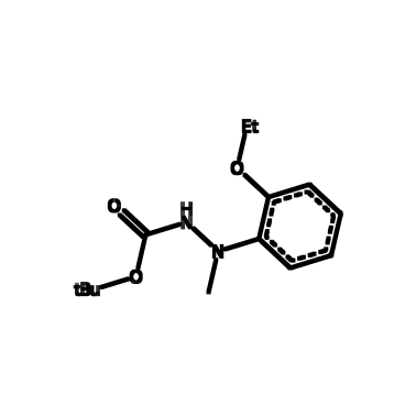 CCOc1ccccc1N(C)NC(=O)OC(C)(C)C